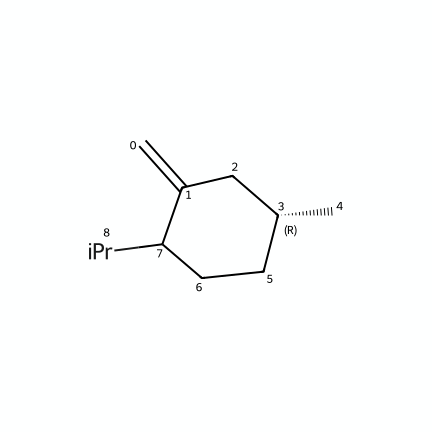 C=C1C[C@H](C)CCC1C(C)C